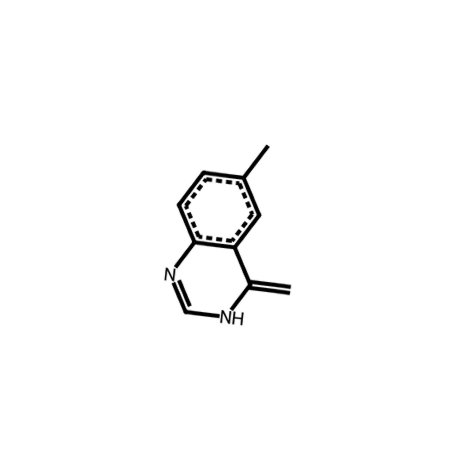 C=C1NC=Nc2ccc(C)cc21